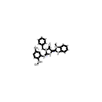 CCNc1ccc(N)cc1/N=C1/S/C(=C2\Sc3ccccc3N2C)C(=O)N1Cc1ccccc1